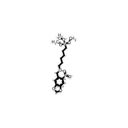 CO[Si](CCCCCCOCc1cc2c(cc1[N+](=O)[O-])OCO2)(OC)OC